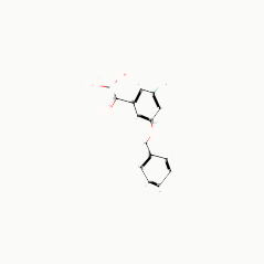 OB(O)C(O)c1cc(F)cc(OCc2ccccc2)c1